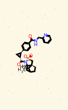 CC1(C)C2CC[C@@]13CS(=O)(=O)N(C(=O)[C@@H]1C[C@H]1c1ccc(C(=O)NCc4ccccn4)cc1)[C@H]3C2